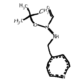 CC(C)(C)ON(C=O)NCc1ccncc1